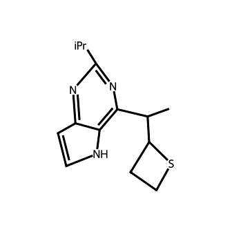 CC(C)c1nc(C(C)C2CCS2)c2[nH]ccc2n1